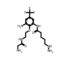 NCC(=O)NCCSc1c(N)cc(C(F)(F)F)cc1NC(=O)CCCCNN